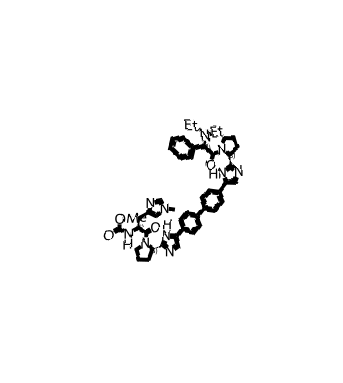 CCN(CC)[C@@H](C(=O)N1CCC[C@H]1c1ncc(-c2ccc(-c3ccc(-c4cnc([C@@H]5CCCN5C(=O)[C@H](Cc5cn(C)cn5)NC(=O)OC)[nH]4)cc3)cc2)[nH]1)c1ccccc1